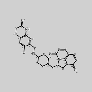 O=C1COc2cc(Cl)c(CNC3CCN(C[C@@H]4Cn5c(=O)ccc6ccc(=O)n4c65)CC3)nc2N1